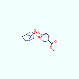 COC(=O)c1ccc(OC2CC3CCC(C2)N3C(=O)O)cc1